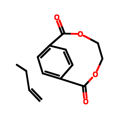 C=CCC.O=C1OCCOC(=O)c2ccc1cc2